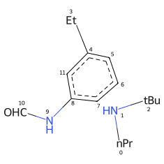 CCCNC(C)(C)C.CCc1cccc(NC=O)c1